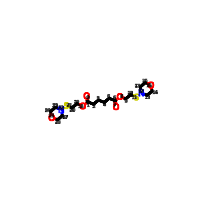 O=C(CCCCC(=O)OCCSN1CCOCC1)OCCSN1CCOCC1